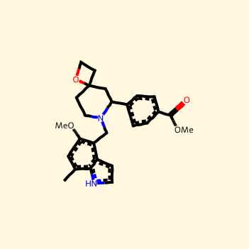 COC(=O)c1ccc(C2CC3(CCO3)CCN2Cc2c(OC)cc(C)c3[nH]ccc23)cc1